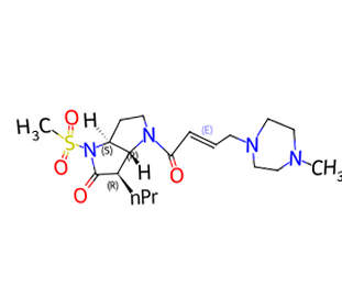 CCC[C@H]1C(=O)N(S(C)(=O)=O)[C@H]2CCN(C(=O)/C=C/CN3CCN(C)CC3)[C@H]12